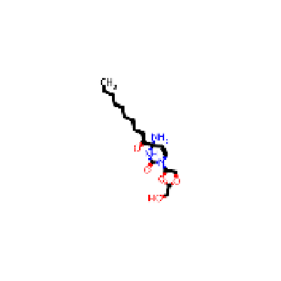 CCCCCCCCCC(=O)[C@]1(N)C=CN(C2COC(CO)O2)C(=O)N1